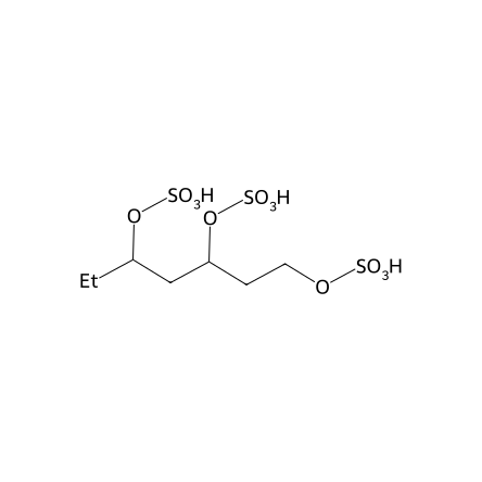 CCC(CC(CCOS(=O)(=O)O)OS(=O)(=O)O)OS(=O)(=O)O